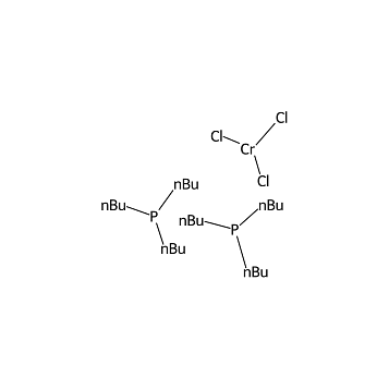 CCCCP(CCCC)CCCC.CCCCP(CCCC)CCCC.[Cl][Cr]([Cl])[Cl]